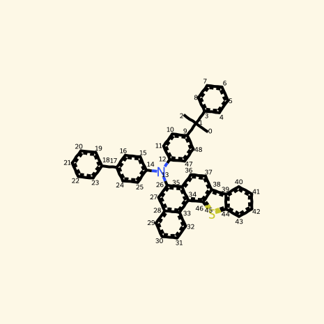 CC(C)(c1ccccc1)c1ccc(N(c2ccc(-c3ccccc3)cc2)c2cc3ccccc3c3c2ccc2c4ccccc4sc23)cc1